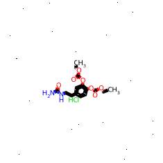 CCOC(=O)Oc1ccc(CCNC(N)=O)cc1OC(=O)OCC.Cl